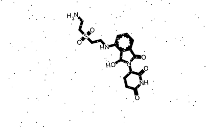 NCCS(=O)(=O)CCNc1cccc2c1C(O)N(C1CCC(=O)NC1=O)C2=O